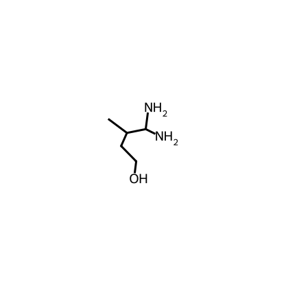 CC(CCO)C(N)N